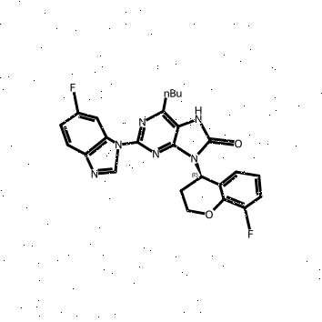 CCCCc1nc(-n2cnc3ccc(F)cc32)nc2c1[nH]c(=O)n2[C@@H]1CCOc2c(F)cccc21